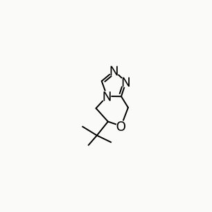 CC(C)(C)C1Cn2cnnc2CO1